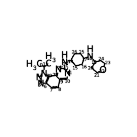 CC(C)n1nnc2ccc3cnc(NC4CCC(NC5CCOCC5)CC4)nc3c21